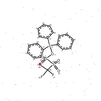 O=S(=O)(OS(c1ccccc1)(c1ccccc1)c1ccccc1)S(=O)(=O)C(F)(F)F